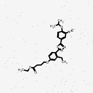 [C-]#[N+]c1cc(-c2nnc(-c3ccc(OCCCC(=O)OCC)cc3CC)s2)ccc1OC(C)C